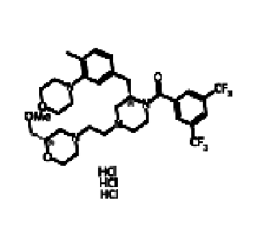 COC[C@@H]1CN(CCN2CCN(C(=O)c3cc(C(F)(F)F)cc(C(F)(F)F)c3)[C@H](Cc3ccc(C)c(N4CCOCC4)c3)C2)CCO1.Cl.Cl.Cl